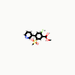 COC(=O)c1cc(S(C)(=O)=O)c(-c2cccnc2)cc1F